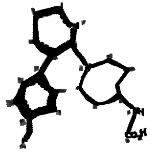 O=C(O)NC1CCN(c2ncccc2-c2ccc(F)cc2)CC1